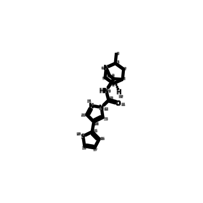 CC1CC2CCN1C[C@@H]2NC(=O)n1cc(-c2cccs2)cn1